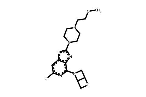 COCCN1CCN(c2nc3c(N4CC5OCC54)nc(Cl)cc3s2)CC1